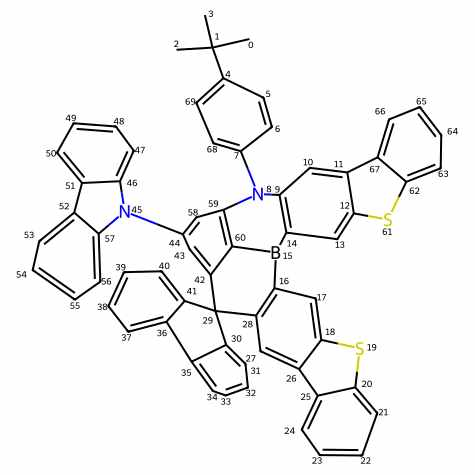 CC(C)(C)c1ccc(N2c3cc4c(cc3B3c5cc6sc7ccccc7c6cc5C5(c6ccccc6-c6ccccc65)c5cc(-n6c7ccccc7c7ccccc76)cc2c53)sc2ccccc24)cc1